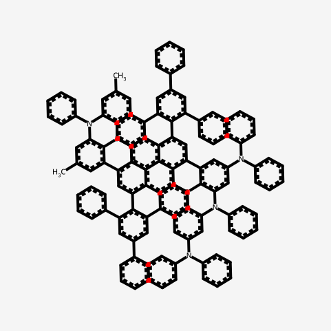 Cc1ccc2c(c1)N(c1ccccc1)c1cc(C)cc3c1B2c1cc2c(-c4c(-c5ccccc5)cc(-c5ccccc5)cc4-c4ccccc4)cc4c5c(cc6c(-c7c(-c8ccccc8)cc(-c8ccccc8)cc7-c7ccccc7)cc-3c1c6c25)B1c2ccc(N(c3ccccc3)c3ccccc3)cc2N(c2ccccc2)c2cc(N(c3ccccc3)c3ccccc3)cc-4c21